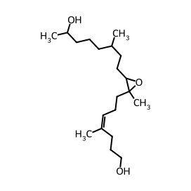 C/C(=C/CCC1(C)OC1CCC(C)CCCC(C)O)CCCO